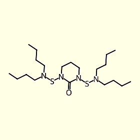 CCCCN(CCCC)SN1CCCN(SN(CCCC)CCCC)C1=O